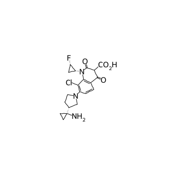 NC1([C@@H]2CCN(c3ccc4c(c3Cl)N([C@@H]3C[C@@H]3F)C(=O)C(C(=O)O)C4=O)C2)CC1